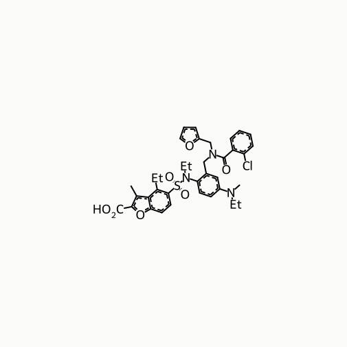 CCc1c(S(=O)(=O)N(CC)c2ccc(N(C)CC)cc2CN(Cc2ccco2)C(=O)c2ccccc2Cl)ccc2oc(C(=O)O)c(C)c12